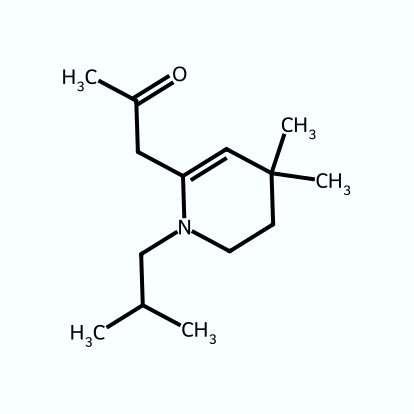 CC(=O)CC1=CC(C)(C)CCN1CC(C)C